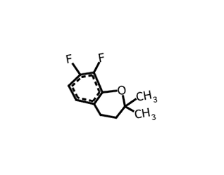 CC1(C)CCc2ccc(F)c(F)c2O1